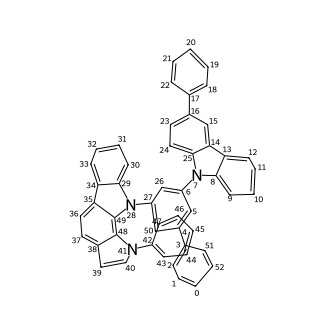 c1ccc(-c2cc(-n3c4ccccc4c4cc(-c5ccccc5)ccc43)cc(-n3c4ccccc4c4ccc5ccn(-c6ccccc6)c5c43)c2)cc1